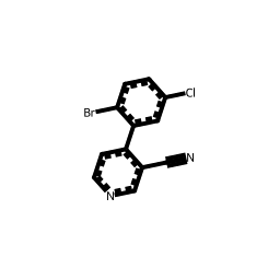 N#Cc1cnccc1-c1cc(Cl)ccc1Br